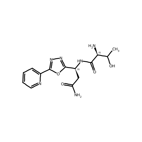 CC(O)[C@H](N)C(=O)N[C@@H](CC(N)=O)c1nnc(-c2ccccn2)o1